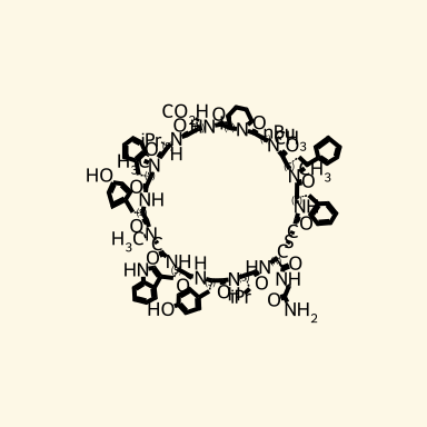 CCCC[C@H]1C(=O)N2CCCC[C@@H]2C(=O)N[C@@H](CC(=O)O)C(=O)N[C@@H](C(C)C)C(=O)N(C)[C@@H](Cc2ccccc2)C(=O)N[C@@H](Cc2ccc(O)cc2)C(=O)N(C)CC(=O)N[C@@H](Cc2c[nH]c3ccccc23)C(=O)N[C@@H](Cc2ccc(O)cc2)C(=O)N[C@@H](CC(C)C)C(=O)N[C@H](C(=O)NCC(N)=O)CSCC(=O)N[C@@H](Cc2ccccc2)C(=O)N(C)[C@@H](CCc2ccccc2)C(=O)N1C